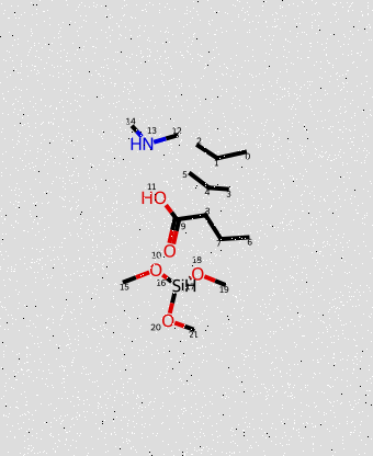 CCC.CCC.CCCC(=O)O.CNC.CO[SiH](OC)OC